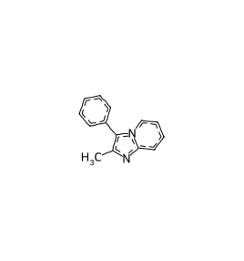 Cc1nc2ccccn2c1-c1ccccc1